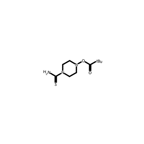 CC(C)(C)C(=O)ON1CCN(C(N)=S)CC1